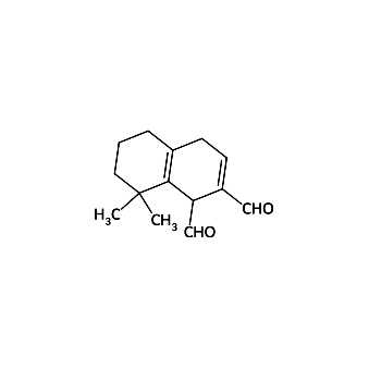 CC1(C)CCCC2=C1C(C=O)C(C=O)=CC2